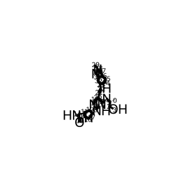 C[C@H](CO)Nc1nc(Nc2ccc([SH](=N)=O)cc2)ncc1C#Cc1ccc2cn(C)nc2c1